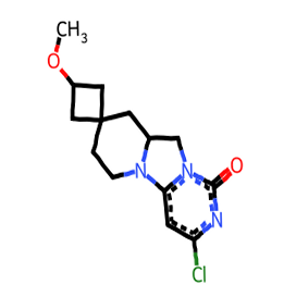 COC1CC2(CCN3c4cc(Cl)nc(=O)n4CC3C2)C1